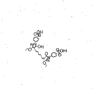 CCOC1=NN(c2ccc(S(=O)(=O)O)cc2)C(=O)/C1=C\C=CC=Cc1c(OCC)nn(-c2ccc(S(=O)(=O)O)cc2)c1O